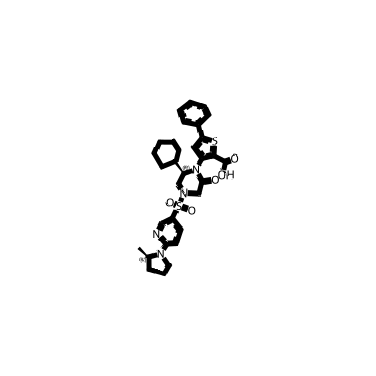 C[C@@H]1CCCN1c1ccc(S(=O)(=O)N2CC(=O)N(c3cc(-c4ccccc4)sc3C(=O)O)[C@H](C3CCCCC3)C2)cn1